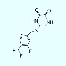 O=c1[nH]cc(SCc2ccc(C(F)F)c(F)c2)[nH]c1=O